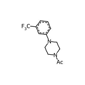 CC(=O)N1CCN(c2cccc(C(F)(F)F)c2)CC1